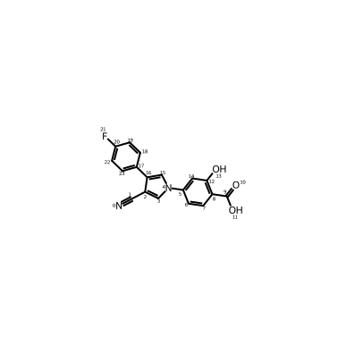 N#Cc1cn(-c2ccc(C(=O)O)c(O)c2)cc1-c1ccc(F)cc1